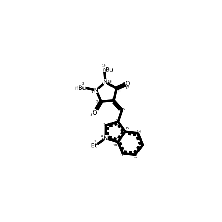 CCCCN1C(=O)C(=Cc2cn(CC)c3ccccc23)C(=O)N1CCCC